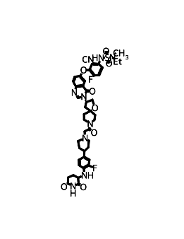 CCN(C)S(=O)(=O)Nc1ccc(F)c(Oc2ccc3ncn([C@H]4COC5(CCN(C(=O)CN6CCC(c7ccc(NC8CCC(=O)NC8=O)c(F)c7)CC6)CC5)C4)c(=O)c3c2)c1C#N